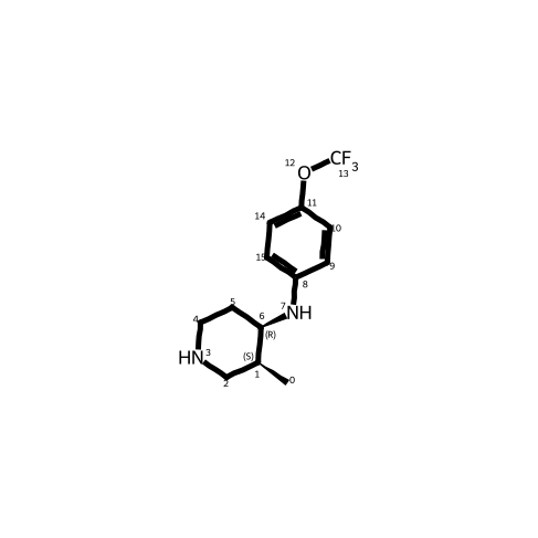 C[C@H]1CNCC[C@H]1Nc1ccc(OC(F)(F)F)cc1